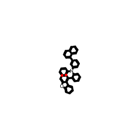 c1ccc(N(c2cccc(-c3cccc4ccccc34)c2)c2ccccc2-c2cccc3oc4ccccc4c23)cc1